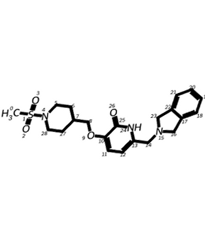 CS(=O)(=O)N1CCC(COc2ccc(CN3Cc4ccccc4C3)[nH]c2=O)CC1